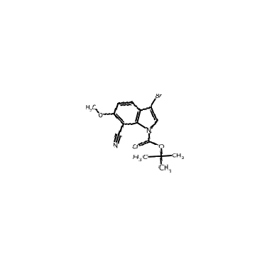 COc1ccc2c(Br)cn(C(=O)OC(C)(C)C)c2c1C#N